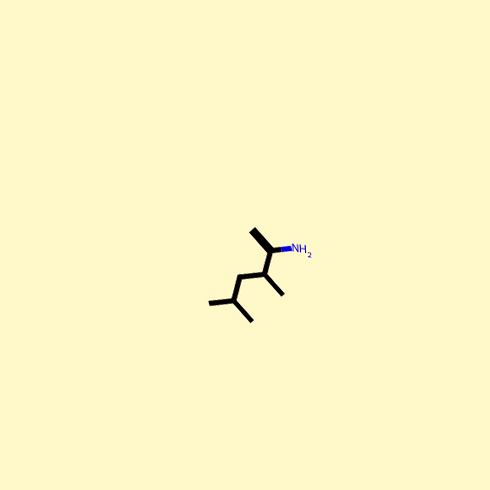 C=C(N)C(C)CC(C)C